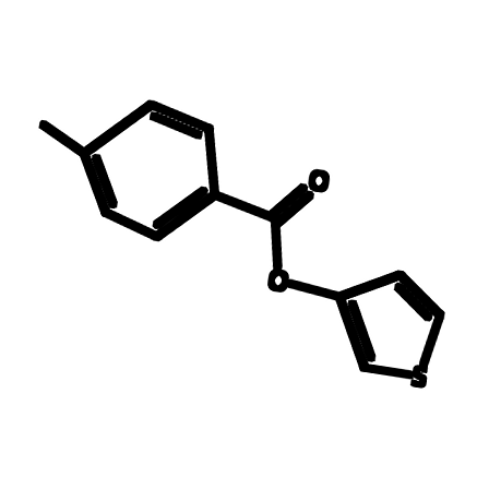 Cc1ccc(C(=O)Oc2ccsc2)cc1